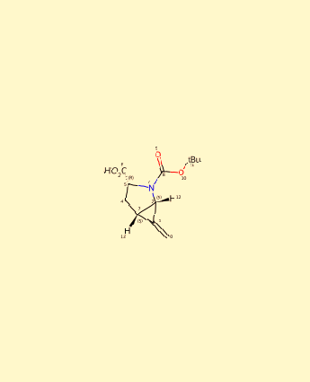 C=C1[C@@H]2[C@H]1C[C@H](C(=O)O)N2C(=O)OC(C)(C)C